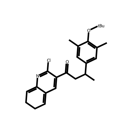 Cc1cc(C(C)CC(=O)c2cc3c(nc2Cl)=CCCC=3)cc(C)c1OC(C)(C)C